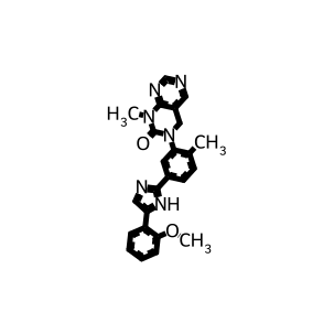 COc1ccccc1-c1cnc(-c2ccc(C)c(N3Cc4cncnc4N(C)C3=O)c2)[nH]1